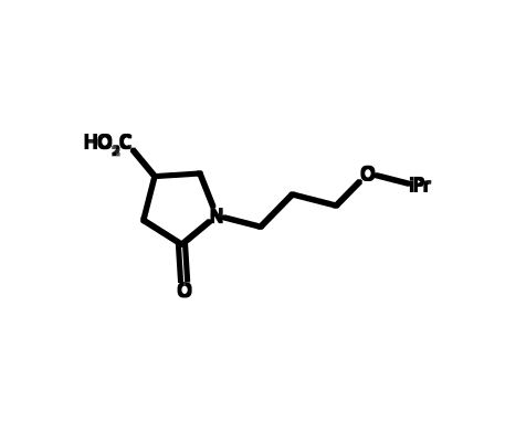 CC(C)OCCCN1CC(C(=O)O)CC1=O